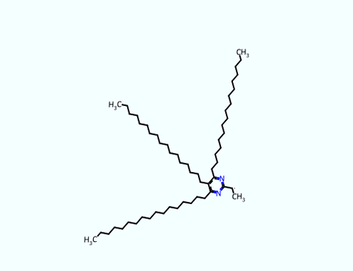 C[CH]c1nc(CCCCCCCCCCCCCCCCC)c(CCCCCCCCCCCCCCCCC)c(CCCCCCCCCCCCCCCCC)n1